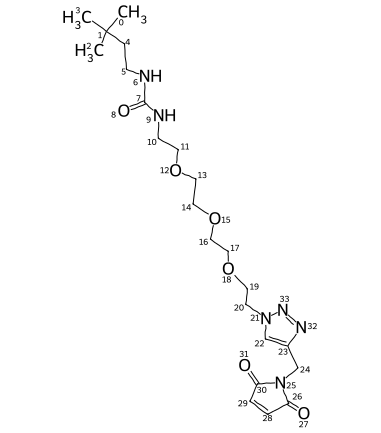 CC(C)(C)CCNC(=O)NCCOCCOCCOCCn1cc(CN2C(=O)C=CC2=O)nn1